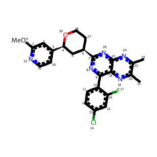 COc1cc([C@@H]2C[C@H](c3nc(-c4ccc(Cl)cc4F)c4nc(C)c(C)nc4n3)CCO2)ccn1